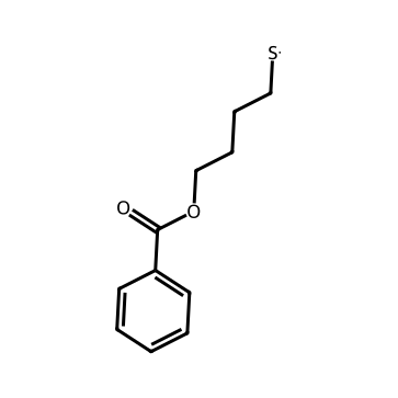 O=C(OCCCC[S])c1ccccc1